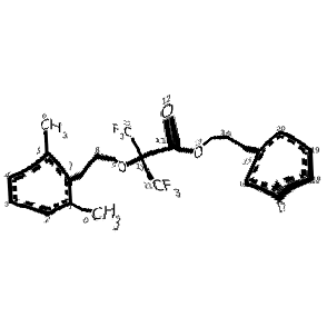 Cc1cccc(C)c1COC(C(=O)OCc1ccccc1)(C(F)(F)F)C(F)(F)F